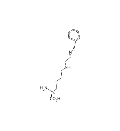 N[C@@H](CCCCNCC=NSc1ccccc1)C(=O)O